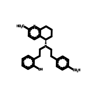 O=C(O)c1ccc(CCN(CCc2ccccc2O)[C@H]2CCCc3nc(C(=O)O)ccc32)cc1